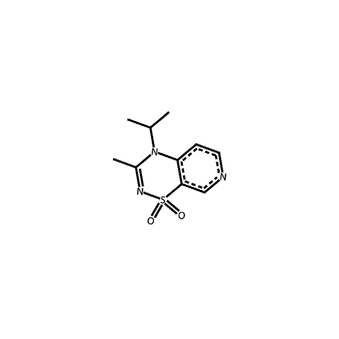 CC1=NS(=O)(=O)c2cnccc2N1C(C)C